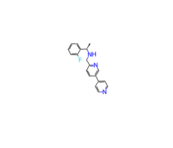 C[C@@H](NCc1ccc(-c2ccncc2)cn1)c1ccccc1F